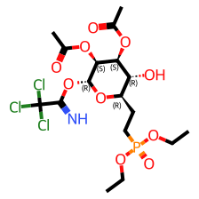 CCOP(=O)(CC[C@H]1O[C@H](OC(=N)C(Cl)(Cl)Cl)[C@@H](OC(C)=O)[C@@H](OC(C)=O)[C@@H]1O)OCC